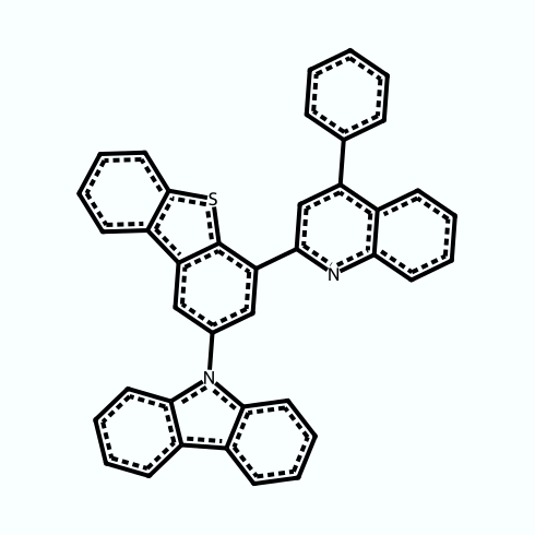 c1ccc(-c2cc(-c3cc(-n4c5ccccc5c5ccccc54)cc4c3sc3ccccc34)nc3ccccc23)cc1